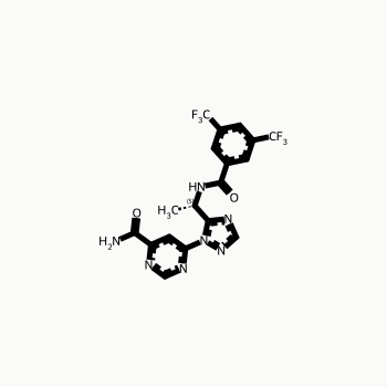 C[C@H](NC(=O)c1cc(C(F)(F)F)cc(C(F)(F)F)c1)c1ncnn1-c1cc(C(N)=O)ncn1